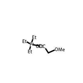 CC[P+](CC)(CC)CC.COCC(=O)[O-]